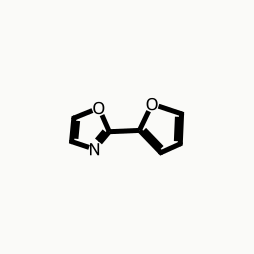 c1coc(-c2ncco2)c1